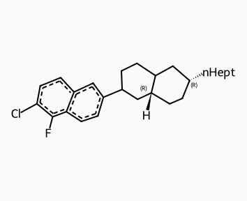 CCCCCCC[C@@H]1CC[C@@H]2CC(c3ccc4c(F)c(Cl)ccc4c3)CCC2C1